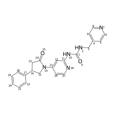 O=C(NCc1ccncc1)Nc1cc(N2CC(c3ccccc3)CC2=O)ccn1